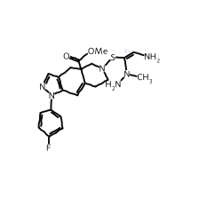 COC(=O)C12Cc3cnn(-c4ccc(F)cc4)c3C=C1CCN(S/C(=C/N)N(C)N)C2